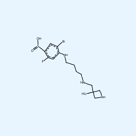 O=S(O)c1cc(Br)c(NCCCCNCC2(O)CNC2)cc1F